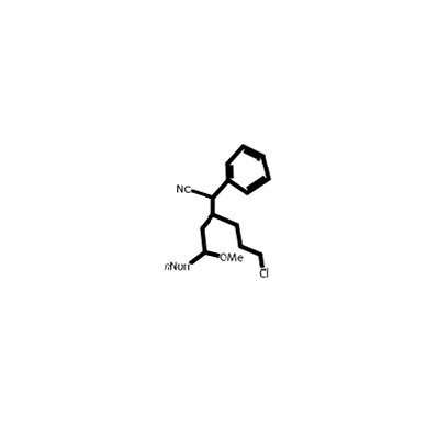 CCCCCCCCCC(CC(CCCCl)C(C#N)c1ccccc1)OC